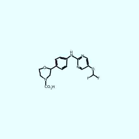 O=C(O)N1CCOC(c2ccc(Nc3ncc(OC(F)F)cn3)cc2)C1